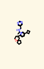 c1ncc(CNCC[C@@]2(c3ccc(C4CCC4)cn3)CCOC3(CCCC3)C2)cn1